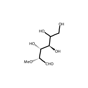 CO[C@@H](C=O)[C@H](O)[C@H](O)C(O)CO